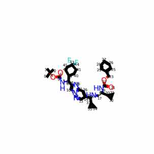 CC(C)(C)OC(=O)N[C@H](c1cn2ncc([C@H](NC[C@H](NC(=O)OCc3ccccc3)C3CC3)C3CC3)cc2n1)C1CCC(F)(F)CC1